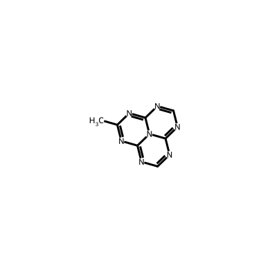 CC1=NC2=NC=NC3=NC=NC(=N1)N32